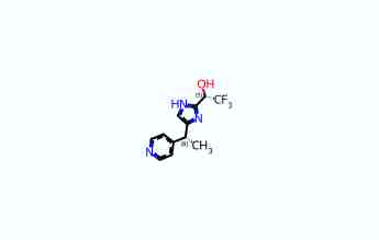 C[C@H](c1ccncc1)c1c[nH]c([C@H](O)C(F)(F)F)n1